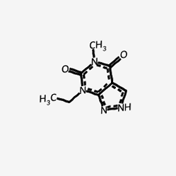 CCn1c(=O)n(C)c(=O)c2c[nH]nc21